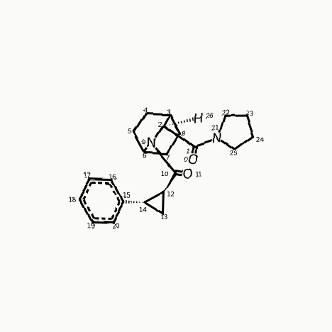 O=C([C@@H]1C2CCC(CC2)N1C(=O)[C@H]1C[C@@H]1c1ccccc1)N1CCCC1